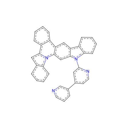 c1cncc(-c2ccnc(-n3c4ccccc4c4cc5c6ccccc6c6cc7ccccc7n6c5cc43)c2)c1